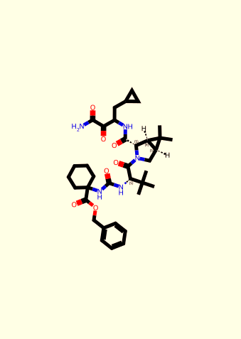 CC(C)(C)[C@H](NC(=O)NC1(C(=O)OCc2ccccc2)CCCCC1)C(=O)N1C[C@H]2[C@@H]([C@H]1C(=O)NC(CC1CC1)C(=O)C(N)=O)C2(C)C